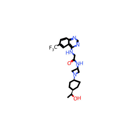 CC(O)[C@H]1CC[C@@H](N2CC(NC(=O)CNc3ncnc4ccc(C(F)(F)F)cc34)C2)CC1